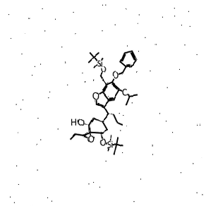 CCC[C@@H](c1coc2c(CO[Si](C)(C)C(C)(C)C)c(OCc3ccccc3)c(CC(C)C)cc12)[C@@H]1C[C@@H](O)[C@]2(OC2CC)[C@H](O[Si](C)(C)C(C)(C)C)C1